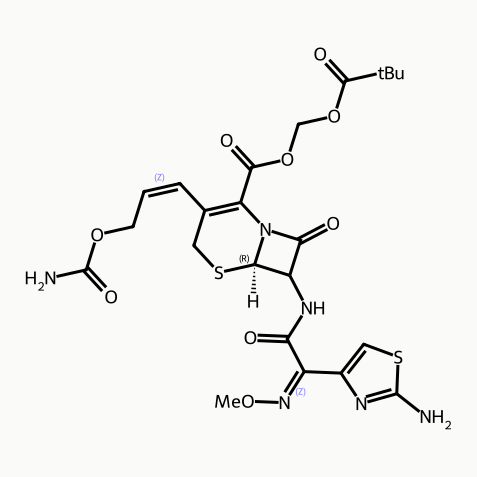 CO/N=C(\C(=O)NC1C(=O)N2C(C(=O)OCOC(=O)C(C)(C)C)=C(/C=C\COC(N)=O)CS[C@H]12)c1csc(N)n1